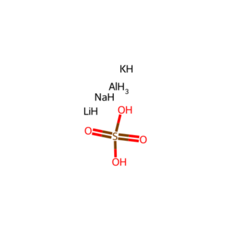 O=S(=O)(O)O.[AlH3].[KH].[LiH].[NaH]